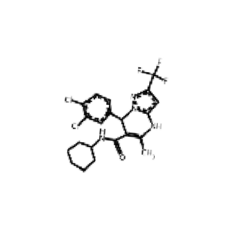 CC1=C(C(=O)NC2CCCCC2)C(c2ccc(Cl)c(Cl)c2)n2nc(C(F)(F)F)cc2N1